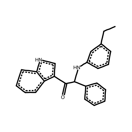 CCc1cccc(NC(C(=O)c2c[nH]c3ccccc23)c2ccccc2)c1